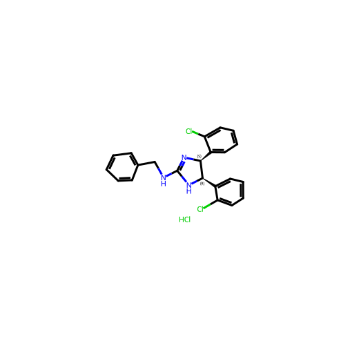 Cl.Clc1ccccc1[C@H]1NC(NCc2ccccc2)=N[C@H]1c1ccccc1Cl